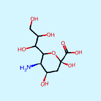 N[C@H]1C(C(O)C(O)CO)O[C@](O)(C(=O)O)C[C@H]1O